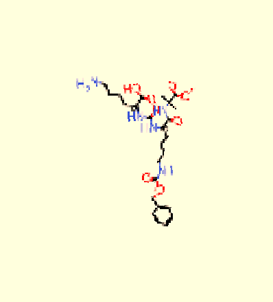 COC(=O)C(C)(C)NC(=O)[C@@H](CCCCNC(=O)OCc1ccccc1)NC(=O)N[C@@H](CCCCN)C(=O)O